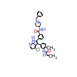 C=CC(=O)Nc1cc(-c2c(-c3cccc(C(=O)NC4CCN(Cc5ccccc5)CC4)c3)[nH]c3nccc(Cl)c23)ccc1C